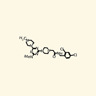 CNc1nc(N2CCN(C)CC2)nc(N2CCN(CC(=O)NCc3ccc(Cl)cc3Cl)CC2)n1